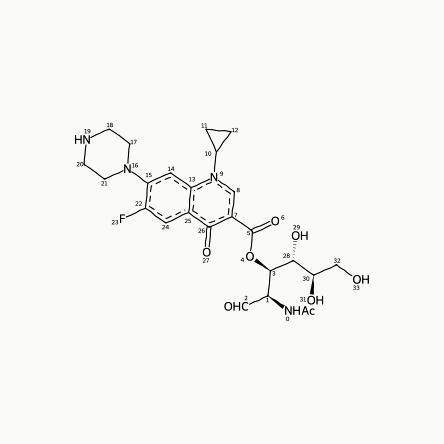 CC(=O)N[C@@H](C=O)[C@@H](OC(=O)c1cn(C2CC2)c2cc(N3CCNCC3)c(F)cc2c1=O)[C@H](O)[C@H](O)CO